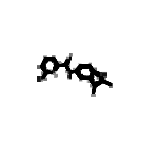 Cc1[nH]c2ccc(NC(=O)c3cccc(Br)n3)cc2c1C